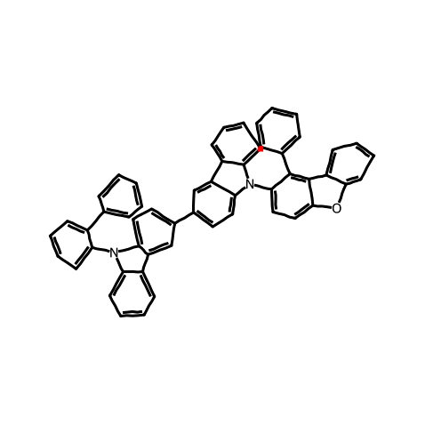 c1ccc(-c2ccccc2-n2c3ccccc3c3cc(-c4ccc5c(c4)c4ccccc4n5-c4ccc5oc6ccccc6c5c4-c4ccccc4)ccc32)cc1